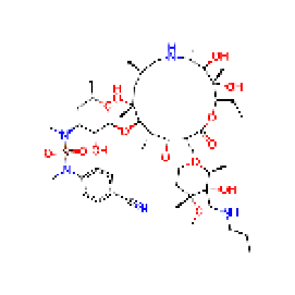 CCCNC[C@]1(O)[C@H](C)O[C@@H](O[C@H]2[C@H](C)[C@@H](O[C@@H]3O[C@H](C)C[C@H](N(C)S(=O)(=O)N(C)c4ccc(C#N)cc4)[C@H]3O)[C@](C)(O)C[C@@H](C)CN[C@H](C)[C@@H](O)[C@](C)(O)[C@@H](CC)OC(=O)[C@@H]2C)C[C@@]1(C)OC